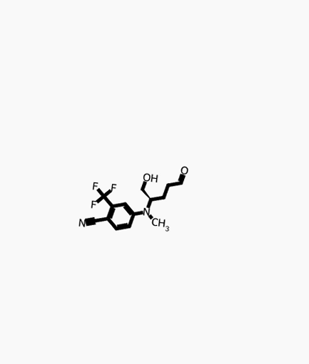 CN(c1ccc(C#N)c(C(F)(F)F)c1)[C@@H](CO)CCC=O